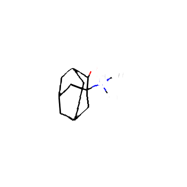 C[N+](C)(C)C12CC3CC(CC(C3)C1O)C2